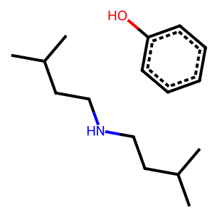 CC(C)CCNCCC(C)C.Oc1ccccc1